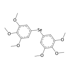 COc1cc([Se]c2cc(OC)c(OC)c(OC)c2)cc(OC)c1OC